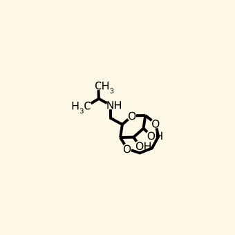 CC(C)NCC1OC2OCCCOC1C(O)C2O